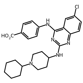 O=C(O)c1ccc(Nc2nc(NC3CCN(C4CCCCC4)CC3)nc3ccc(Cl)cc23)cc1